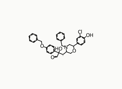 O=CC(O)([CH]C1COC(c2ccc(O)c(Cl)c2)CN1Cc1ccccc1)c1ccc(OCc2ccccc2)cc1